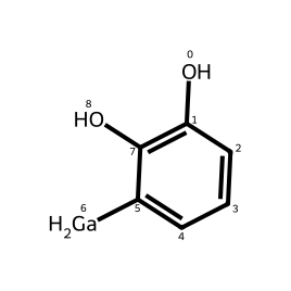 Oc1ccc[c]([GaH2])c1O